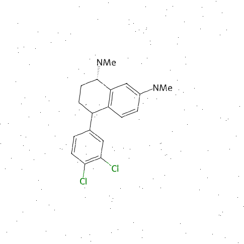 CNc1ccc2c(c1)[C@@H](NC)CCC2c1ccc(Cl)c(Cl)c1